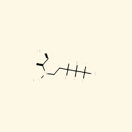 C=CC(=O)N(CCC)CCC(F)(F)C(F)(F)C(F)(F)C(F)(F)F